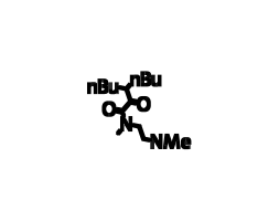 CCCCC(CCCC)C(=O)C(=O)N(C)CCNC